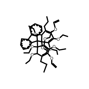 C=COC1=C(CCC)C(OCC)C(OCC)(C2(C3(OCC)C(OCC)=C(OCC)C(OC=C)=C(CCC)C3OCC)c3ccccc3-c3ccccc32)C(OCC)=C1OCC